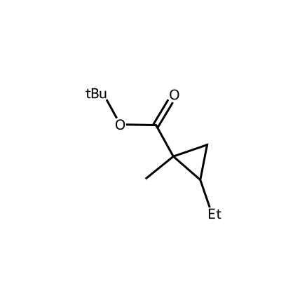 CCC1CC1(C)C(=O)OC(C)(C)C